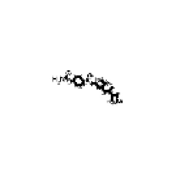 Cn1cc(-c2cnc3cnc(NC(=O)[C@H]4CC[C@H](OC(N)=O)CC4)cc3c2)cn1